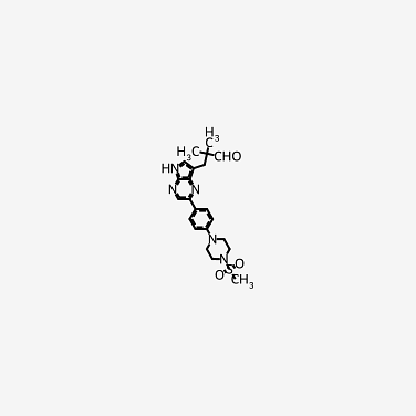 CC(C)(C=O)Cc1c[nH]c2ncc(-c3ccc(N4CCN(S(C)(=O)=O)CC4)cc3)nc12